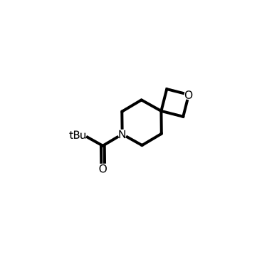 CC(C)(C)C(=O)N1CCC2(CC1)COC2